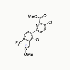 CO/N=C/c1c(C(F)(F)F)ccc(-c2ccc(Cl)c(C(=O)OC)n2)c1Cl